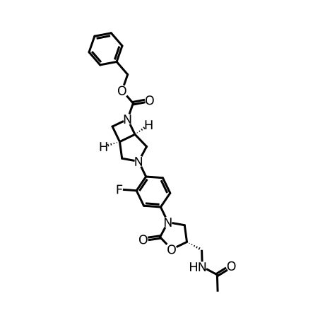 CC(=O)NC[C@H]1CN(c2ccc(N3C[C@H]4CN(C(=O)OCc5ccccc5)[C@H]4C3)c(F)c2)C(=O)O1